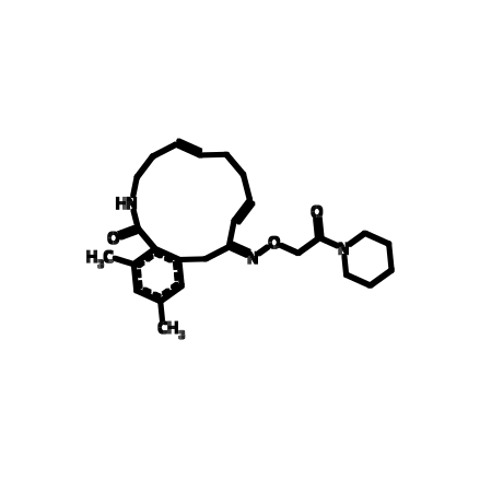 Cc1cc(C)c2c(c1)CC(=N/OCC(=O)N1CCCCC1)/C=C/CC/C=C/CCNC2=O